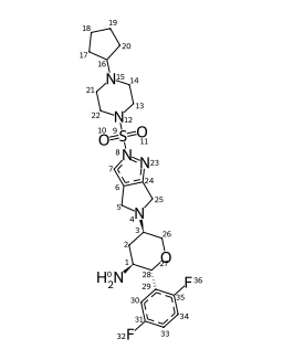 N[C@H]1C[C@@H](N2Cc3cn(S(=O)(=O)N4CCN(C5CCCC5)CC4)nc3C2)CO[C@@H]1c1cc(F)ccc1F